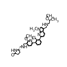 COc1nc(-c2cccc(-c3ccc4c(CNCC(C)OC)cn(C)c4n3)c2Cl)ccc1CNC[C@@H]1CCC(=O)N1